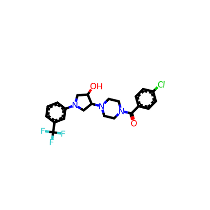 O=C(c1ccc(Cl)cc1)N1CCN(C2CN(c3cccc(C(F)(F)F)c3)CC2O)CC1